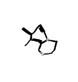 C=C1C=CN2CCSC2=C1C